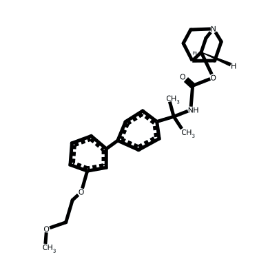 COCCOc1cccc(-c2ccc(C(C)(C)NC(=O)O[C@H]3CN4CCC3CC4)cc2)c1